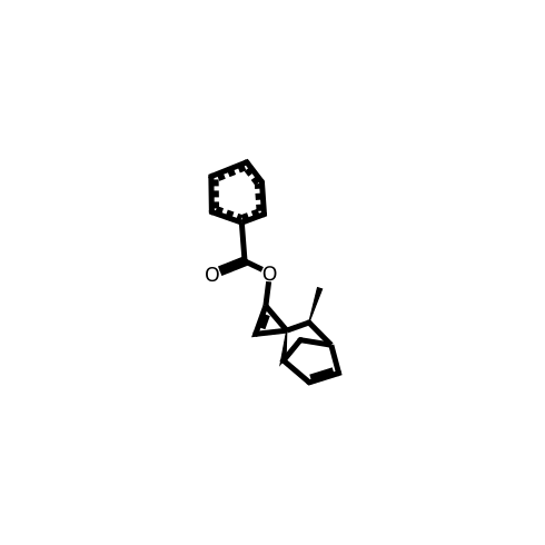 C[C@H]1C2C=CC(C2)[C@]12C=C2OC(=O)c1ccccc1